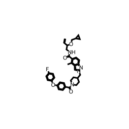 C=CC(CNC(=O)c1ccc2nn(CC3CCN(C(=O)c4ccc(Oc5ccc(F)cc5)cc4)CC3)cc2c1C)OCC1CC1